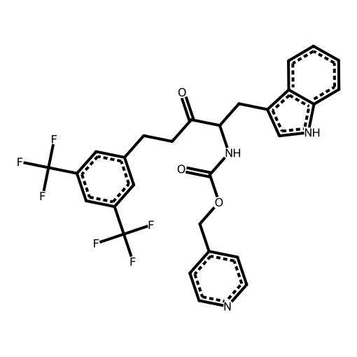 O=C(NC(Cc1c[nH]c2ccccc12)C(=O)CCc1cc(C(F)(F)F)cc(C(F)(F)F)c1)OCc1ccncc1